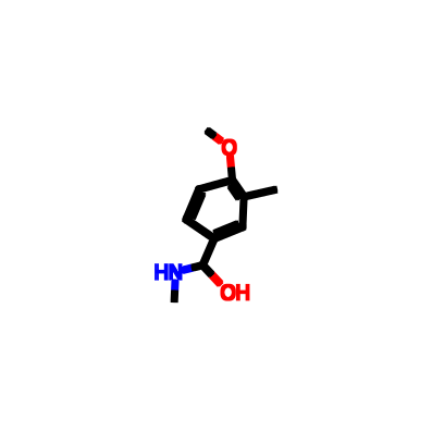 CNC(O)c1ccc(OC)c(C)c1